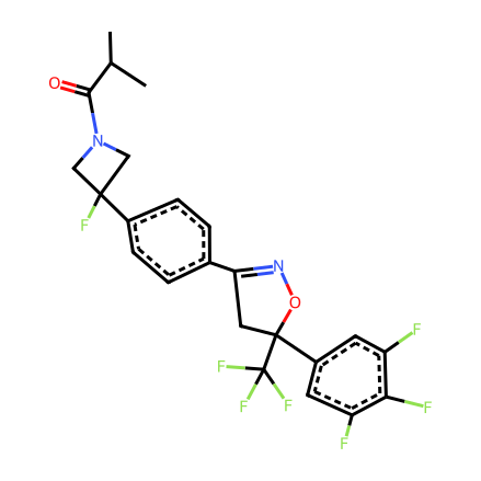 CC(C)C(=O)N1CC(F)(c2ccc(C3=NOC(c4cc(F)c(F)c(F)c4)(C(F)(F)F)C3)cc2)C1